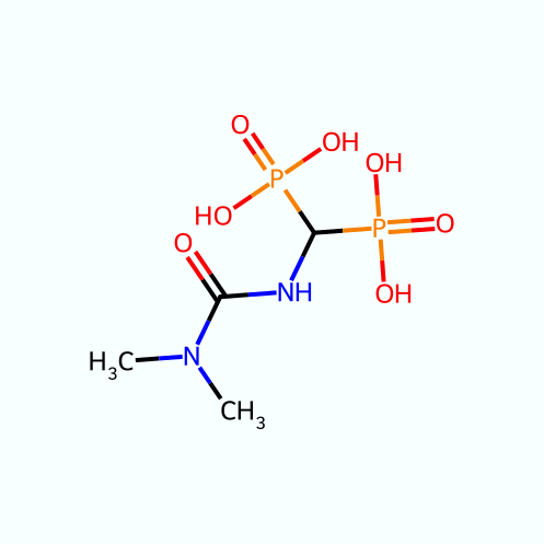 CN(C)C(=O)NC(P(=O)(O)O)P(=O)(O)O